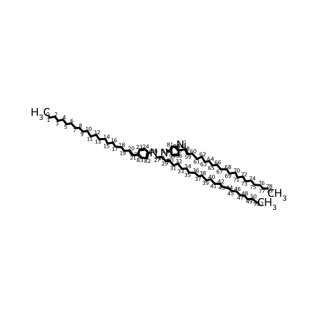 CCCCCCCCCCCCCCCCCCCCC=Cc1ccc(N=CC(C=CCCCCCCCCCCCCCCCCCCCCCC)=Nc2ccc(C=CCCCCCCCCCCCCCCCCCCCC)cc2)cc1.[Ni]